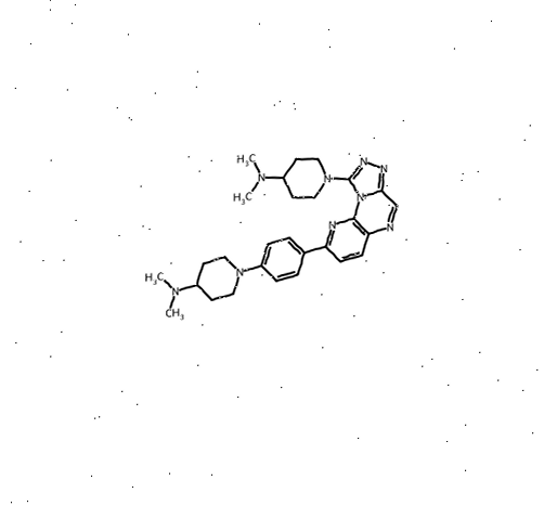 CN(C)C1CCN(c2ccc(-c3ccc4ncc5nnc(N6CCC(N(C)C)CC6)n5c4n3)cc2)CC1